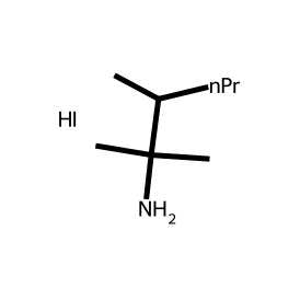 CCCC(C)C(C)(C)N.I